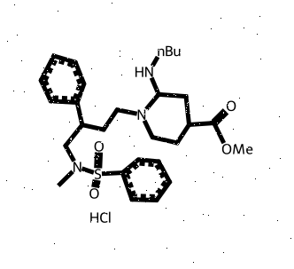 CCCCNC1CC(C(=O)OC)CCN1CCC(CN(C)S(=O)(=O)c1ccccc1)c1ccccc1.Cl